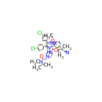 CCOc1ccc(C(C)(C)C#N)cc1C1(C(=O)N2CCN(CC(=O)N(C)C(C)C)CC2)N[C@H](c2ccc(Cl)cc2)[C@H](c2ccc(Cl)cc2)N1